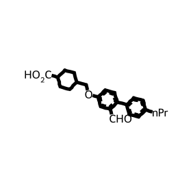 CCCc1ccc(-c2ccc(OCC3CCC(C(=O)O)CC3)cc2C=O)cc1